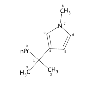 CCCC(C)(C)c1ccn(C)c1